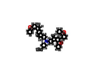 CC(C)(C)c1ccc(N(c2ccc3c(c2)C(C)(C)c2cc4c(cc2-3)C(C)(C)c2ccc3oc5ccccc5c3c2-4)c2ccc3c(c2)C(C)(C)c2cc(-c4cccc5oc6ccccc6c45)c4oc5ccccc5c4c2-3)cc1